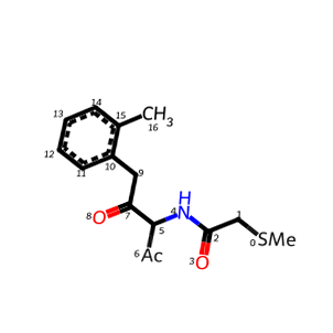 CSCC(=O)NC(C(C)=O)C(=O)Cc1ccccc1C